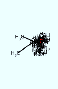 CCCCCCCCCCCCC/C=C/[C@@H](O)[C@H](CO[C@@H]1OC(CO)[C@@H](O[C@@H]2OC(CO)[C@H](O[C@@H]3OC(CO)[C@H](O)[C@H](O[C@@H]4OC(CO)[C@H](O)[C@H](O[C@H]5OC(CO)[C@H](O)[C@H](O)C5O)C4O)C3NC(C)=O)[C@H](O[C@]3(C(=O)O)CC(O)[C@@H](NC(C)=O)C([C@H](O)[C@@H](CO)O[C@]4(C(=O)O)CC(O)[C@@H](NC(C)=O)C([C@H](O)[C@H](O)CO)O4)O3)C2O)[C@H](O)C1O)NC(=O)CCCCCCCCCCCCCCCCCCCCCCC